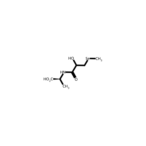 C[Se]CC(O)C(=O)N[C@@H](C)C(=O)O